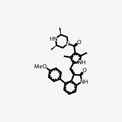 COc1ccc(-c2cccc3c2C(=Cc2[nH]c(C)c(C(=O)N4C[C@@H](C)N[C@@H](C)C4)c2C)C(=O)N3)cc1